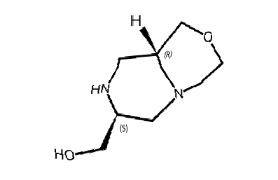 OC[C@@H]1CN2CCOC[C@H]2CN1